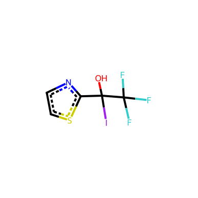 OC(I)(c1nccs1)C(F)(F)F